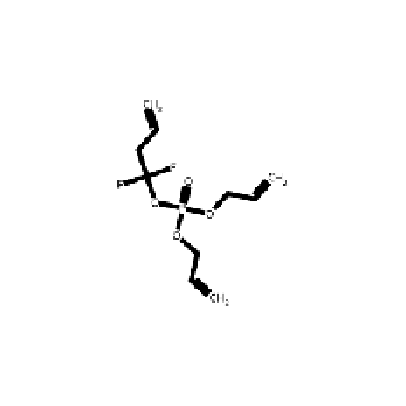 C=CCOP(=O)(OCC=C)OC(F)(F)CC=C